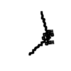 CCCCCCCCCCCC(=O)C(C)(SC(C)(C(=O)O)C(=O)CCCCCCCCCCC)C(=O)O